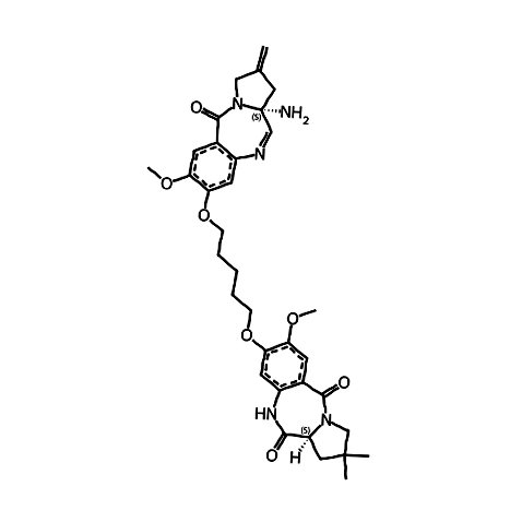 C=C1CN2C(=O)c3cc(OC)c(OCCCCCOc4cc5c(cc4OC)C(=O)N4CC(C)(C)C[C@H]4C(=O)N5)cc3N=C[C@]2(N)C1